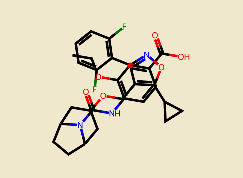 CCOc1cc(C(=O)O)ccc1NC(=O)N1C2CCC1CC(OCc1c(-c3c(F)cccc3F)noc1C1CC1)C2